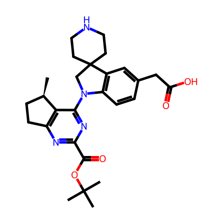 C[C@@H]1CCc2nc(C(=O)OC(C)(C)C)nc(N3CC4(CCNCC4)c4cc(CC(=O)O)ccc43)c21